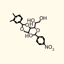 Cc1ccc(C2OC[C@@H]3OC(c4ccc([N+](=O)[O-])cc4)O[C@H]([C@H](O)CO)[C@@H]3O2)cc1C